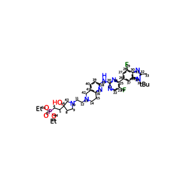 CCOP(=O)(CCC1(O)CCN(CCN2CCc3nc(Nc4ncc(F)c(-c5cc(F)c6nc(C)n(C(C)(C)C)c6c5)n4)ccc3C2)C1)OCC